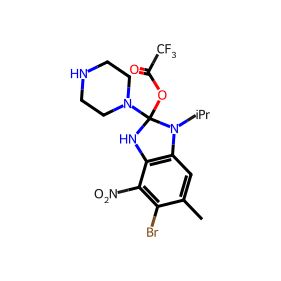 Cc1cc2c(c([N+](=O)[O-])c1Br)NC(OC(=O)C(F)(F)F)(N1CCNCC1)N2C(C)C